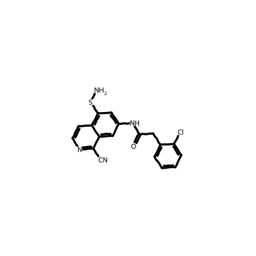 N#Cc1nccc2c(SN)cc(NC(=O)Cc3ccccc3Cl)cc12